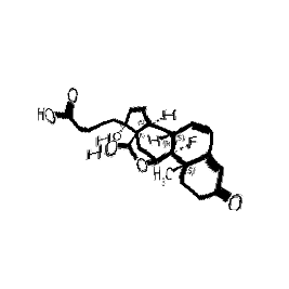 C[C@]12CCC(=O)C=C1C=C[C@H]1[C@@H]3CC[C@](O)(CCC(=O)O)[C@@]34CC(OC4O)[C@@]12F